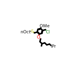 CCCCCCCCSCc1cc(OC)c(CCl)cc1OCCC(C)CCCC(C)C